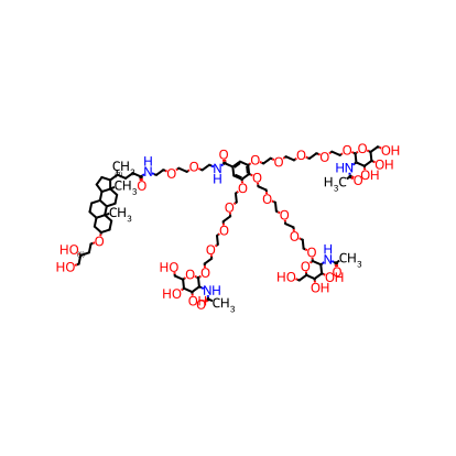 CC(=O)NC1C(OCCOCCOCCOCCOc2cc(C(=O)NCCOCCOCCNC(=O)CC[C@@H](C)C3CCC4C5CCC6CC(OCC[C@H](O)CO)CCC6(C)C5CCC43C)cc(OCCOCCOCCOCCOC3OC(CO)C(O)C(O)C3NC(C)=O)c2OCCOCCOCCOCCOC2OC(CO)C(O)C(O)C2NC(C)=O)OC(CO)C(O)C1O